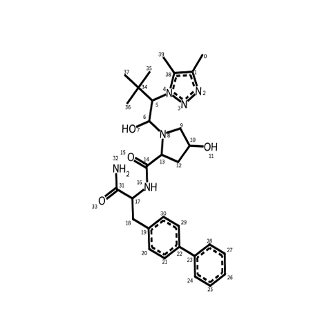 Cc1nnn(C(C(O)N2CC(O)CC2C(=O)NC(Cc2ccc(-c3ccccc3)cc2)C(N)=O)C(C)(C)C)c1C